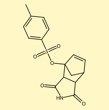 Cc1ccc(S(=O)(=O)OC23C=CC(C2)C2C(=O)NC(=O)C23)cc1